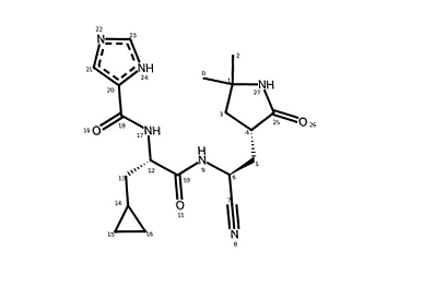 CC1(C)C[C@@H](C[C@@H](C#N)NC(=O)[C@H](CC2CC2)NC(=O)c2cnc[nH]2)C(=O)N1